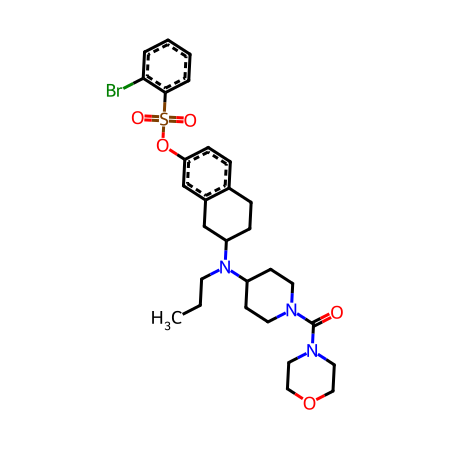 CCCN(C1CCN(C(=O)N2CCOCC2)CC1)C1CCc2ccc(OS(=O)(=O)c3ccccc3Br)cc2C1